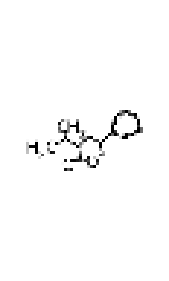 CC(C)C1CC(c2ccccc2)COC1=O